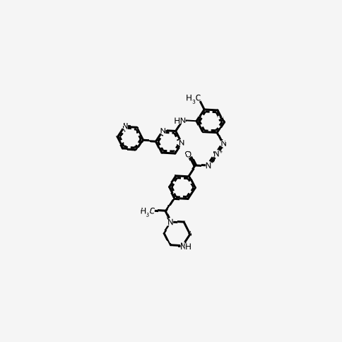 Cc1ccc(N=[N+]=NC(=O)c2ccc(C(C)N3CCNCC3)cc2)cc1Nc1nccc(-c2cccnc2)n1